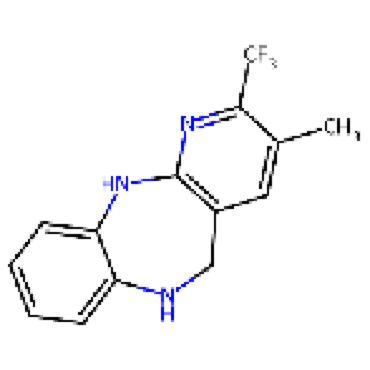 Cc1cc2c(nc1C(F)(F)F)Nc1ccccc1NC2